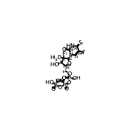 CC1(F)[C@@H](O)[C@@H](COP(=O)(O)OP(=O)(O)OP(=O)(O)O)O[C@H]1n1cc(F)c(=S)[nH]c1=O